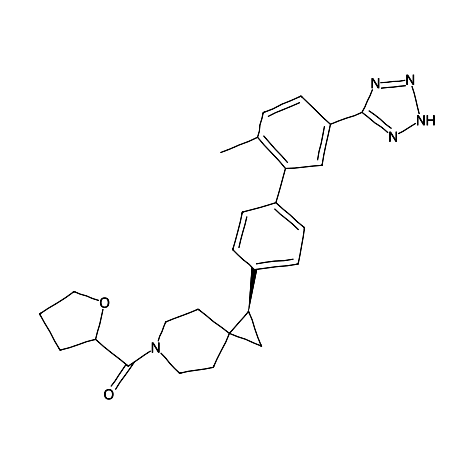 Cc1ccc(-c2nn[nH]n2)cc1-c1ccc([C@H]2CC23CCN(C(=O)C2CCCO2)CC3)cc1